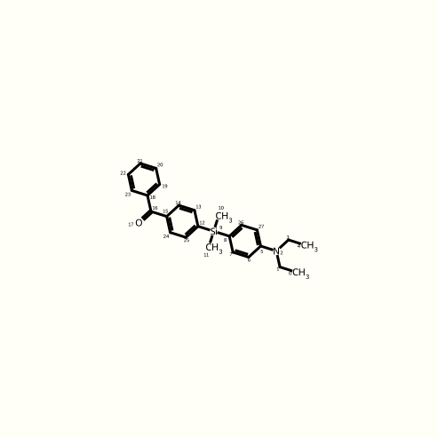 CCN(CC)c1ccc([Si](C)(C)c2ccc(C(=O)c3ccccc3)cc2)cc1